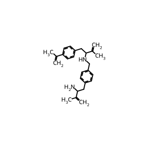 C=C(C)c1ccc(CC(NCc2ccc(CC(N)C(=C)C)cc2)C(=C)C)cc1